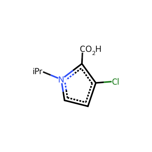 CC(C)n1ccc(Cl)c1C(=O)O